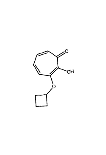 O=c1ccccc(OC2CCC2)c1O